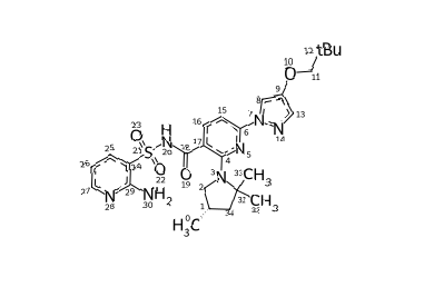 C[C@@H]1CN(c2nc(-n3cc(OCC(C)(C)C)cn3)ccc2C(=O)NS(=O)(=O)c2cccnc2N)C(C)(C)C1